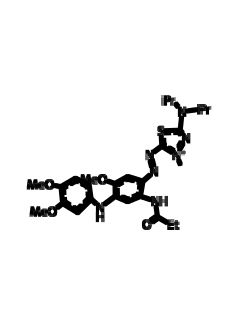 CCC(=O)Nc1cc(Nc2ccc(OC)c(OC)c2)c(OC)cc1N=Nc1sc(N(C(C)C)C(C)C)n[n+]1C